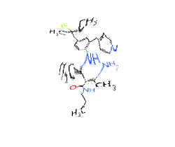 C=C(Nc1ccc(C(C)(C)F)cc1-c1ccncc1)/C(C(=O)NCCC)=C(/C)N